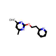 Cc1cc(C=O)nc(OCCc2ccccn2)n1